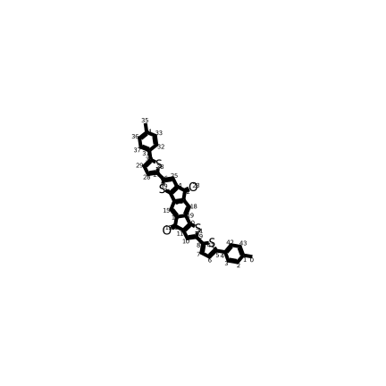 Cc1ccc(-c2ccc(-c3cc4c(=O)c5cc6c(cc5c4s3)c(=O)c3cc(-c4ccc(-c5ccc(C)cc5)s4)sc36)s2)cc1